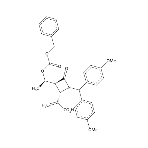 C=C(C(=O)O)[C@@H]1[C@@H]([C@@H](C)OC(=O)OCc2ccccc2)C(=O)N1C(c1ccc(OC)cc1)c1ccc(OC)cc1